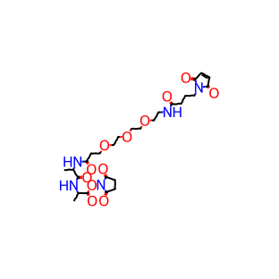 CC(NC(=O)CCOCCOCCOCCNC(=O)CCCN1C(=O)C=CC1=O)C(=O)NC(C)C(=O)ON1C(=O)CCC1=O